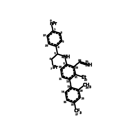 CCCc1ccc(C(CC(C)C)Nc2ccc(-c3ccc(C(F)(F)F)cc3C)c(CC)c2C=N)cc1